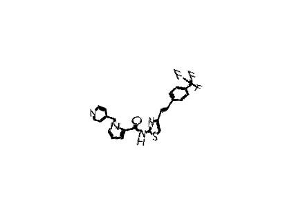 O=C(Nc1nc(/C=C/c2ccc(C(F)(F)F)cc2)cs1)c1cccn1Cc1ccncc1